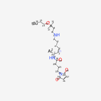 CC(=O)[C@H](/C=C\CCCNCCC(C)(C)OCCC(C)(C)C)NC(=O)CCCN1C(=O)C=CC1=O